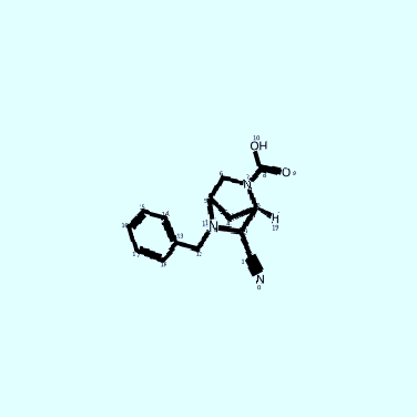 N#CC1[C@@H]2CC(CN2C(=O)O)N1Cc1ccccc1